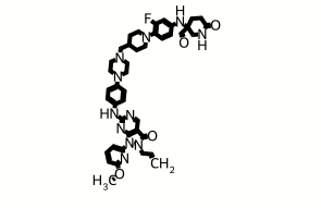 C=CCn1c(=O)c2cnc(Nc3ccc(N4CCN(CC5CCN(c6ccc(NC7(C=O)CCC(=O)NC7)cc6F)CC5)CC4)cc3)nc2n1-c1cccc(OC)n1